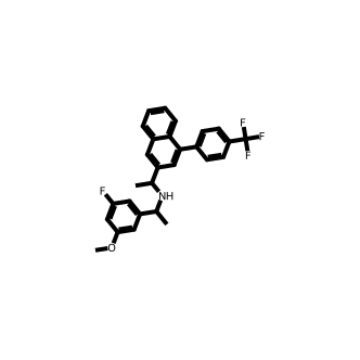 COc1cc(F)cc(C(C)NC(C)c2cc(-c3ccc(C(F)(F)F)cc3)c3ccccc3c2)c1